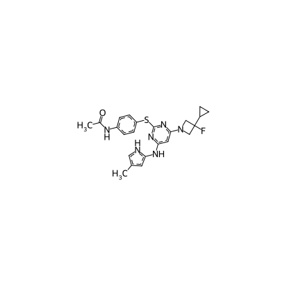 CC(=O)Nc1ccc(Sc2nc(Nc3cc(C)c[nH]3)cc(N3CC(F)(C4CC4)C3)n2)cc1